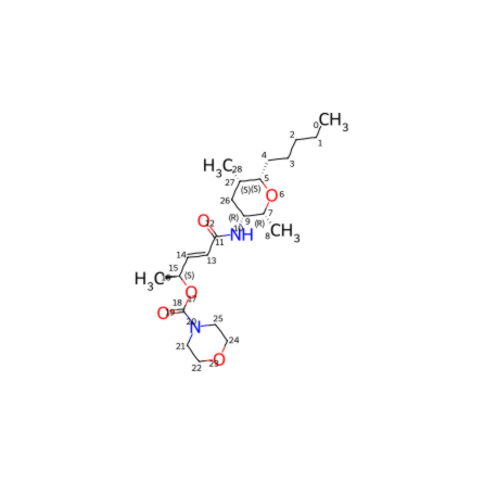 CCCCC[C@@H]1O[C@H](C)[C@H](NC(=O)C=C[C@H](C)OC(=O)N2CCOCC2)C[C@@H]1C